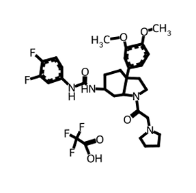 COc1ccc(C23CCC(NC(=O)Nc4ccc(F)c(F)c4)CC2N(C(=O)CN2CCCC2)CC3)cc1OC.O=C(O)C(F)(F)F